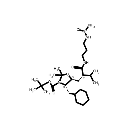 CC(C)[C@H](C[C@@H]1OC(C)(C)N(C(=O)OC(C)(C)C)[C@H]1CC1CCCCC1)C(=O)NCCCN[S+](N)[O-]